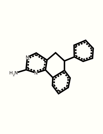 Nc1ncc2c(n1)-c1ccccc1C(c1ccccc1)C2